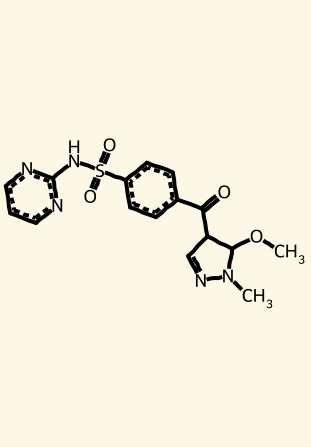 COC1C(C(=O)c2ccc(S(=O)(=O)Nc3ncccn3)cc2)C=NN1C